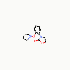 O=C1OCCN1c1ccccc1ON1CCCC1